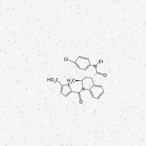 CCN(C(=O)[C@H]1C[C@H](C)N(C(=O)c2ccc(C(=O)O)s2)c2ccccc21)c1ccc(Cl)cc1